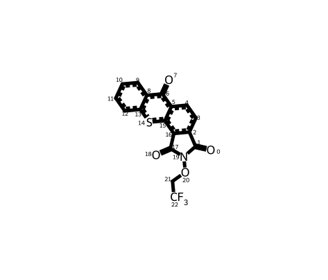 O=C1c2ccc3c(=O)c4ccccc4sc3c2C(=O)N1OCC(F)(F)F